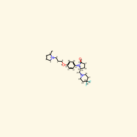 CC1CCCN1CCCOc1ccc(N2C(=O)CC[C@H]2CN2CCC(F)(F)CC2)cc1